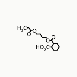 C=CC(=O)OCCCCOC(=O)C1CCCCC1C(=O)O